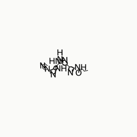 CCCC(=O)Nc1cncc(-c2cnc3c(c2)C(c2cc4c(N5CCN(C)CC5)cncc4[nH]2)NN3)c1